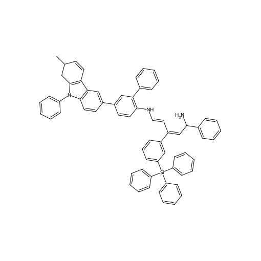 CC1C=Cc2c(n(-c3ccccc3)c3ccc(-c4ccc(N/C=C/C(=C\C(N)c5ccccc5)c5cccc([Si](c6ccccc6)(c6ccccc6)c6ccccc6)c5)c(-c5ccccc5)c4)cc23)C1